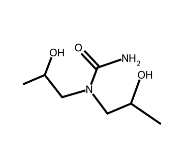 CC(O)CN(CC(C)O)C(N)=O